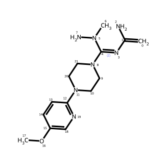 C=C(N)/N=C(\N(C)N)N1CCN(c2ccc(OC)cn2)CC1